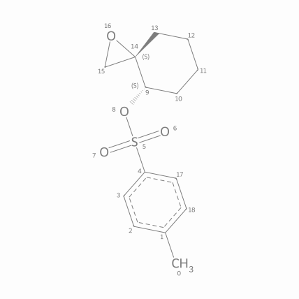 Cc1ccc(S(=O)(=O)O[C@H]2CCCC[C@]23CO3)cc1